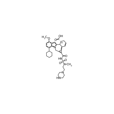 COc1ccc(C2CCCCC2)c2c1cc1n2CC2=C(C(=O)NS(=O)(=O)N(C)CCN3CCNCC3)C2=C2C=CC[C@@H](C(=O)O)C21